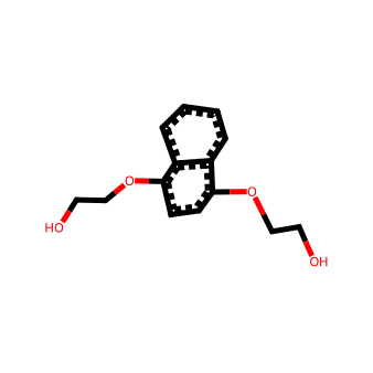 OCCOc1ccc(OCCO)c2ccccc12